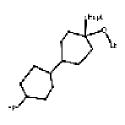 CCCCCCCC1(OCC)CCC(C2CCC(CCC)CC2)CC1